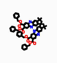 CC1(C)CC2(CC(C)(C)c3cc4nc5cc(C(=O)OCc6ccccc6)c(C(=O)OCc6ccccc6)cc5nc4cc32)c2cc3nc4cc(C(=O)OCc5ccccc5)c(C(=O)OCc5ccccc5)cc4nc3cc21